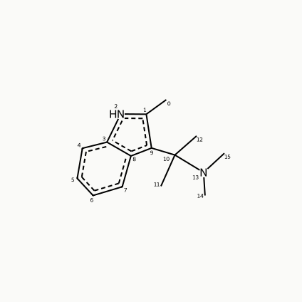 Cc1[nH]c2ccccc2c1C(C)(C)N(C)C